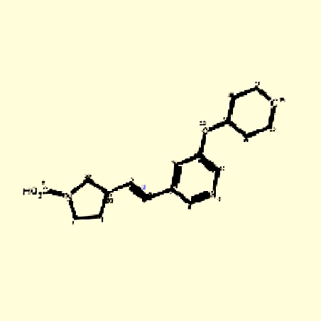 O=C(O)N1CC[C@H](/C=C/c2cncc(OC3CCOCC3)c2)C1